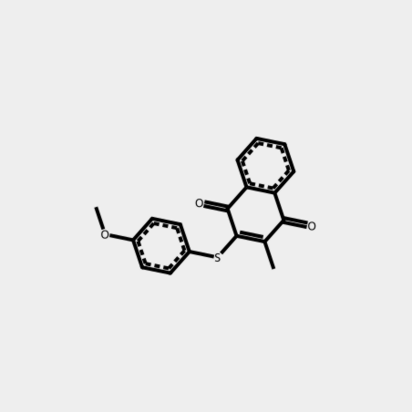 COc1ccc(SC2=C(C)C(=O)c3ccccc3C2=O)cc1